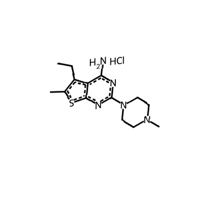 CCc1c(C)sc2nc(N3CCN(C)CC3)nc(N)c12.Cl